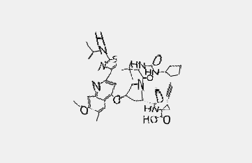 C=C[C@@H]1C[C@]1(NC(=O)[C@@H]1C[C@@H](Oc2cc(-c3csc(NC(C)C)n3)nc3cc(OC)c(C)cc23)CN1C(=O)[C@@H](NC(=O)NC1CCCC1)C(C)(C)C)C(=O)O